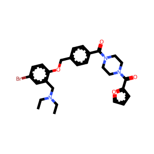 CCN(CC)Cc1cc(Br)ccc1OCc1ccc(C(=O)N2CCN(C(=O)c3ccco3)CC2)cc1